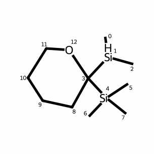 C[SiH](C)C1([Si](C)(C)C)CCCCO1